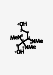 CNC(CCO)C(CO)(NC)NC